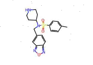 Cc1ccc(S(=O)(=O)N(Cc2ccc3nonc3c2)C2CCNCC2)cc1